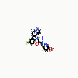 O=C(Cn1c2c(c3cc(F)ccc31)CCn1nccc1-2)NCc1ccc(Br)cn1